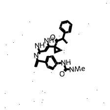 C=C(/N=C(N)\C=C(/N)C1(C(=O)C(C)c2ccccc2)CC1)c1ccc(NC(=O)NC)cc1